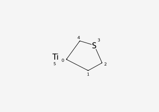 C1CCSC1.[Ti]